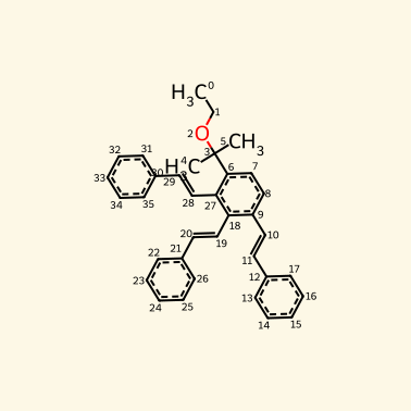 CCOC(C)(C)c1ccc(/C=C/c2ccccc2)c(/C=C/c2ccccc2)c1/C=C/c1ccccc1